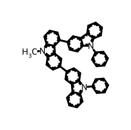 Cn1c2ccc(-c3ccc4c(c3)c3ccccc3n4-c3ccccc3)cc2c2c(-c3ccc4c(c3)c3ccccc3n4-c3ccccc3)cccc21